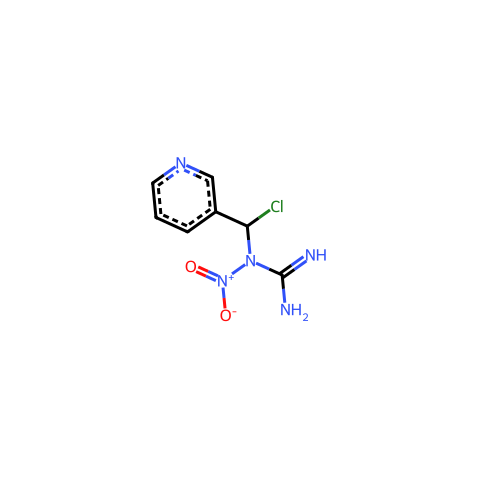 N=C(N)N(C(Cl)c1cccnc1)[N+](=O)[O-]